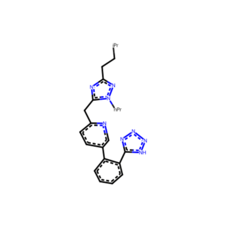 CCCn1nc(CCC(C)C)nc1Cc1ccc(-c2ccccc2-c2nnn[nH]2)cn1